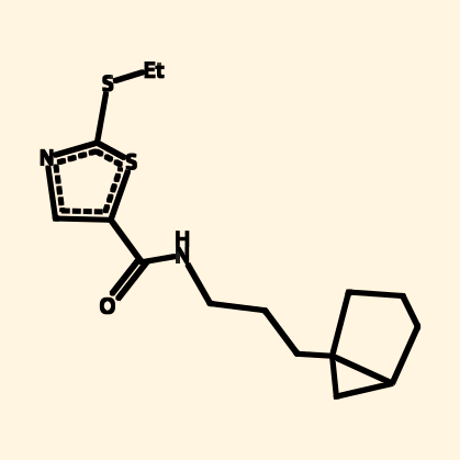 CCSc1ncc(C(=O)NCCCC23CCCC2C3)s1